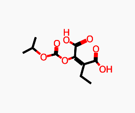 CC/C(C(=O)O)=C(\OC(=O)OC(C)C)C(=O)O